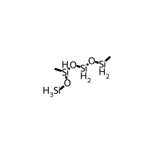 C[SiH2]O[SiH2]O[SiH](C)O[SiH3]